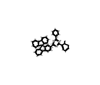 CC1CC=CC=C1c1nc(-c2ccccc2)nc(-c2ccc3c(c2)C2(c4ccccc4-c4ccccc42)c2ccccc2-3)n1